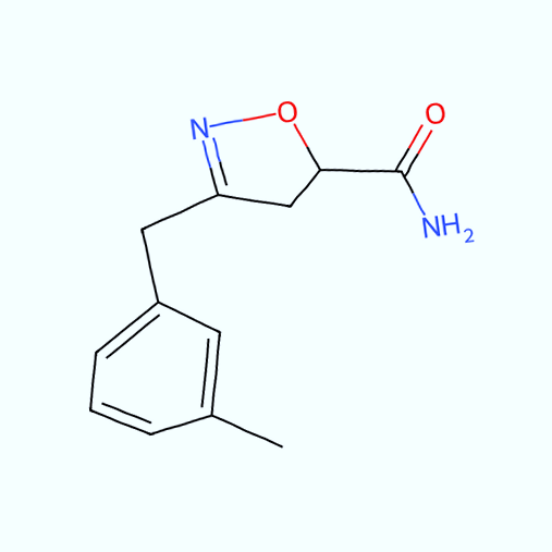 Cc1cccc(CC2=NOC(C(N)=O)C2)c1